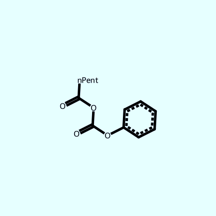 CCCCCC(=O)OC(=O)Oc1ccccc1